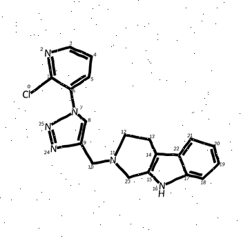 Clc1ncccc1-n1cc(CN2CCc3c([nH]c4ccccc34)C2)nn1